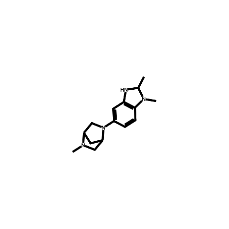 CC1Nc2cc(N3CC4CC3CN4C)ccc2N1C